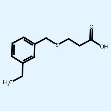 CCc1cccc(CSCCC(=O)O)c1